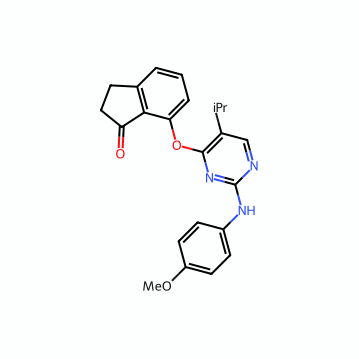 COc1ccc(Nc2ncc(C(C)C)c(Oc3cccc4c3C(=O)CC4)n2)cc1